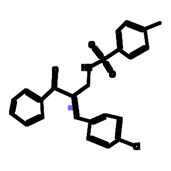 Cc1ccc(S(=O)(=O)NC/C(=C\c2ccc(Cl)cc2)C(=O)c2ccccc2)cc1